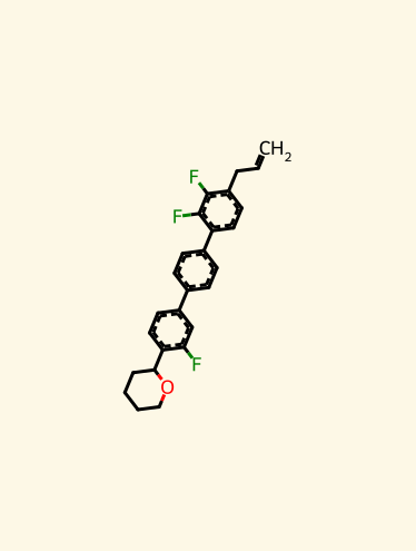 C=CCc1ccc(-c2ccc(-c3ccc(C4CCCCO4)c(F)c3)cc2)c(F)c1F